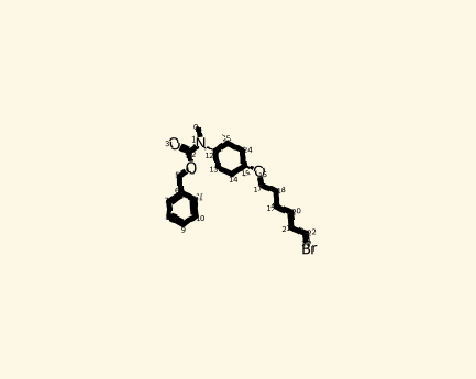 CN(C(=O)OCc1ccccc1)[C@H]1CC[C@H](OCCCCCCBr)CC1